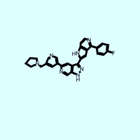 Fc1ccc(-c2nccc3[nH]c(-c4n[nH]c5cnc(-c6cncc(CN7CCCC7)c6)cc45)cc23)cc1